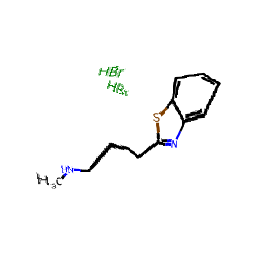 Br.Br.CNCCCc1nc2ccccc2s1